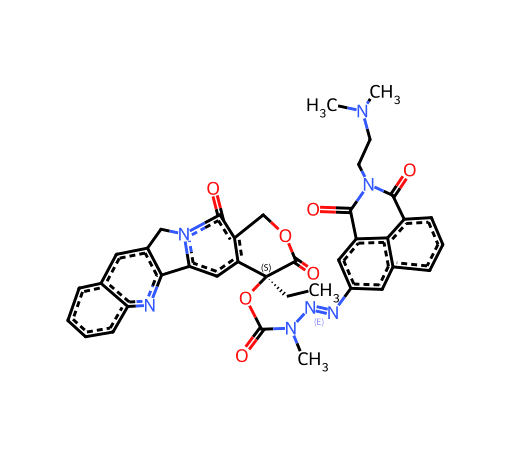 CC[C@@]1(OC(=O)N(C)/N=N/c2cc3c4c(cccc4c2)C(=O)N(CCN(C)C)C3=O)C(=O)OCc2c1cc1n(c2=O)Cc2cc3ccccc3nc2-1